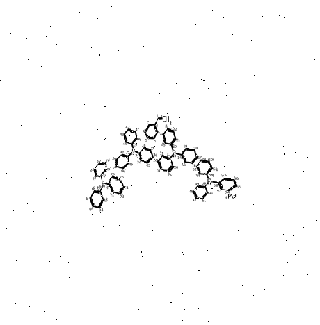 C=Cc1ccccc1.[Pd].c1ccc(P(c2ccccc2)c2ccccc2)cc1.c1ccc(P(c2ccccc2)c2ccccc2)cc1.c1ccc(P(c2ccccc2)c2ccccc2)cc1.c1ccc(P(c2ccccc2)c2ccccc2)cc1